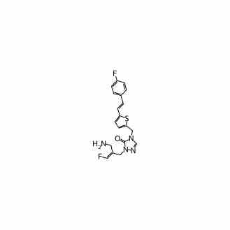 NC/C(=C\F)Cn1ncn(Cc2ccc(/C=C/c3ccc(F)cc3)s2)c1=O